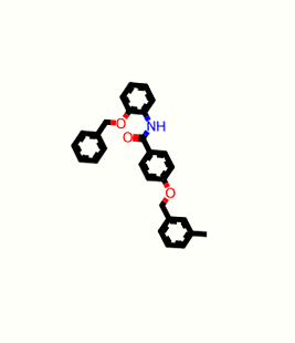 Cc1cccc(COc2ccc(C(=O)Nc3ccccc3OCc3ccccc3)cc2)c1